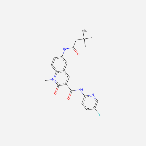 Cn1c(=O)c(C(=O)Nc2ccc(F)cn2)cc2cc(NC(=O)C[Si](C)(C)C(C)(C)C)ccc21